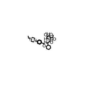 CCN1CCN(c2ccc(C(=O)N[C@H](C(=O)N3C[C@H](OC)[C@H]4OCC(=O)[C@H]43)C3CCCCC3)cc2)CC1